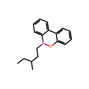 CCC(C)CCP1Oc2ccccc2-c2ccccc21